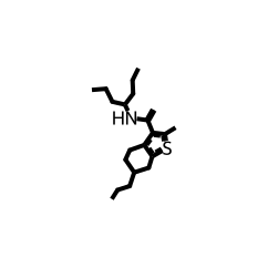 C=C(NC(CCC)CCC)c1c(C)sc2c1CCC(CCC)C2